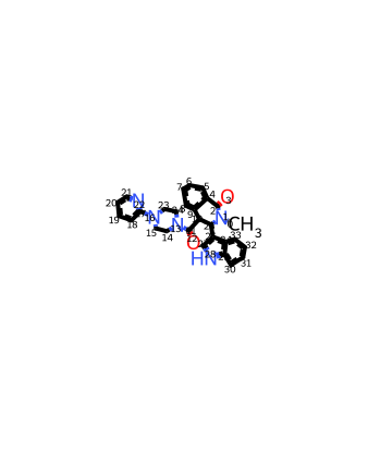 CN1C(=O)c2ccccc2C(C(=O)N2CCN(c3ccccn3)CC2)C1c1c[nH]c2ccccc12